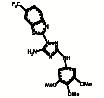 COc1cc(Nc2nc(N)n(-c3nc4ccc(C(F)(F)F)cc4s3)n2)cc(OC)c1OC